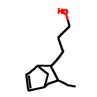 CC1C2C=CC(C2)C1CCCO